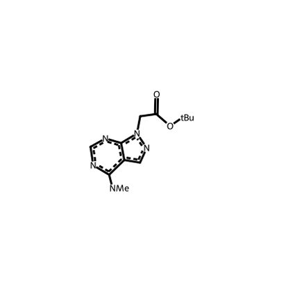 CNc1ncnc2c1cnn2CC(=O)OC(C)(C)C